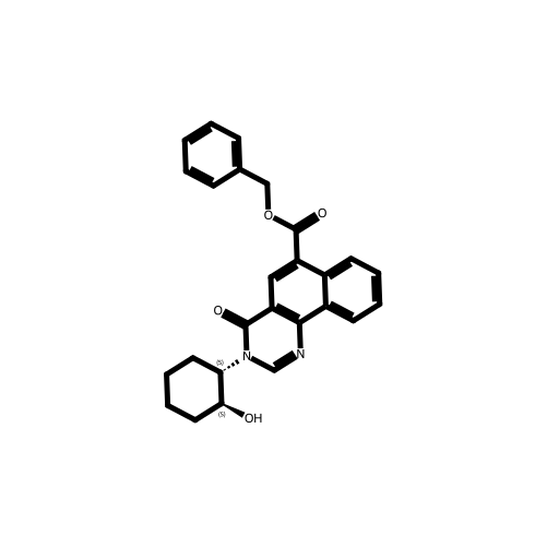 O=C(OCc1ccccc1)c1cc2c(=O)n([C@H]3CCCC[C@@H]3O)cnc2c2ccccc12